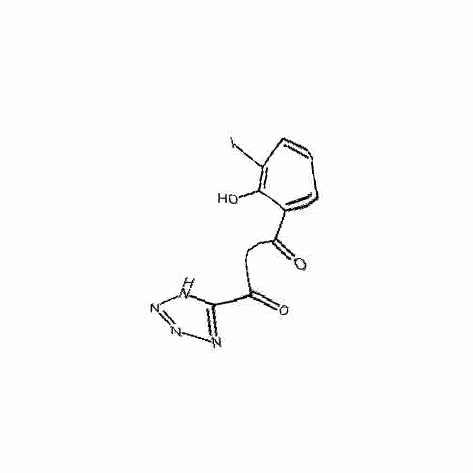 O=C(CC(=O)c1cccc(I)c1O)c1nnn[nH]1